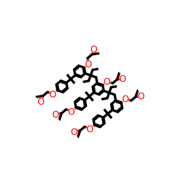 CCC(CC)(Cc1cc(C(C)(C)c2ccc(OCC3CO3)cc2)cc(C(CC)(CC)Cc2cc(C(C)(C)c3ccc(OCC4CO4)cc3)ccc2OCC2CO2)c1OCC1CO1)c1cc(C(C)(C)c2ccc(OCC3CO3)cc2)ccc1OCC1CO1